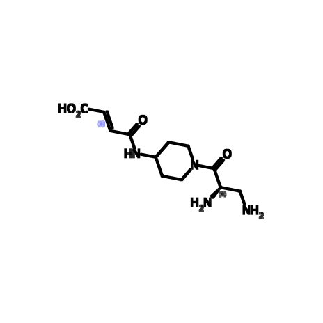 NC[C@@H](N)C(=O)N1CCC(NC(=O)/C=C/C(=O)O)CC1